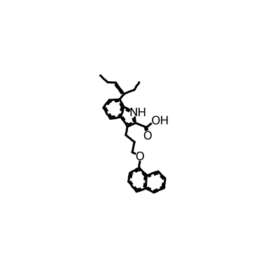 CC/C=C(/CC)c1cccc2c(CCCOc3cccc4ccccc34)c(C(=O)O)[nH]c12